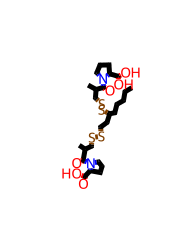 CCCCCC(CCSSCC(C)C(=O)N1CCCC1C(=O)O)SSCC(C)C(=O)N1CCCC1C(O)O